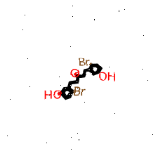 O=C(CCc1cc(O)ccc1Br)CCc1cc(O)ccc1Br